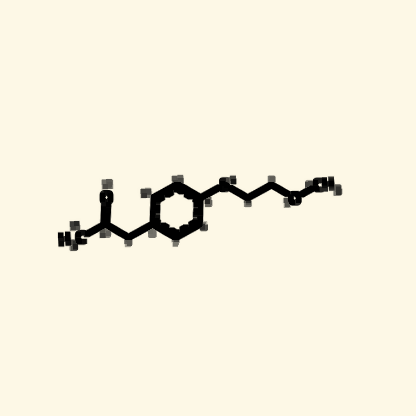 COCCSc1ccc(CC(C)=O)cc1